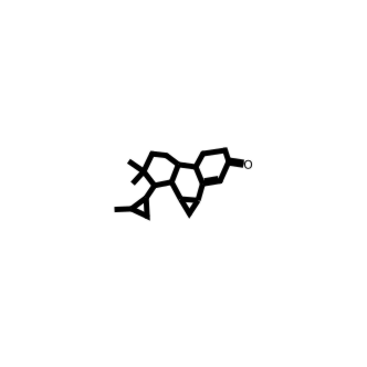 CC1CC1C1C2C(CCC1(C)C)C1CCC(=O)C=C1C1CC12